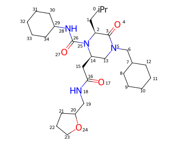 CC(C)C[C@H]1C(=O)N(CC2CCCCC2)C[C@@H](CC(=O)NCC2CCCO2)N1C(=O)NC1CCCCC1